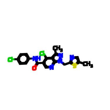 Cc1cnc(Cn2nc(C)c3c(Cl)c(C(=O)Nc4ccc(Cl)cc4)cnc32)s1